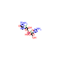 Nc1ncn([C@@H]2O[C@H](CO)C(OP(=O)(O)OC[C@H]3O[C@@H](n4cnc5c(=O)[nH]c(N)nc54)C(F)C3O)C2F)c(=O)n1